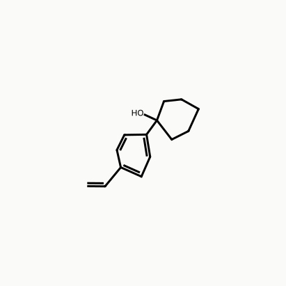 C=Cc1ccc(C2(O)CCCCC2)cc1